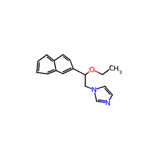 CCOC(Cn1ccnc1)c1ccc2ccccc2c1